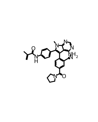 C=C(C)C(=O)Nc1ccc(-c2c(-c3ccc(C(=O)N4CCCC4)cc3C#N)c3c(N)ncnc3n2C)cc1